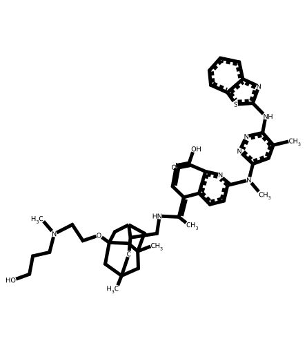 C/C(NCC1CC2(C)CC3(C)CC1CC(OCCN(C)CCCO)(C2)C3)=C(/C=N)c1ccc(N(C)c2cc(C)c(Nc3nc4ccccc4s3)nn2)nc1C(=O)O